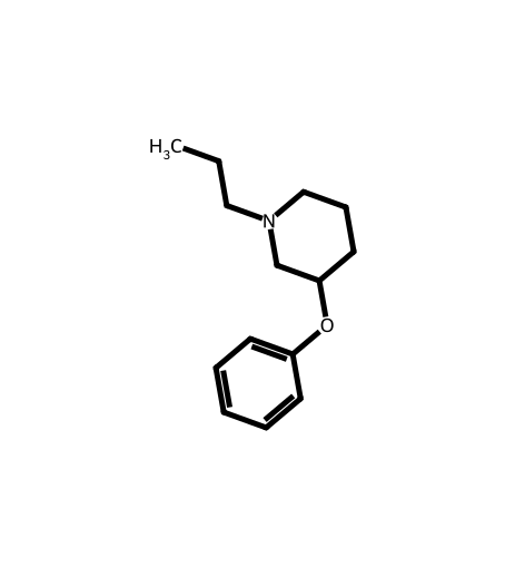 CCCN1CCCC(Oc2ccccc2)C1